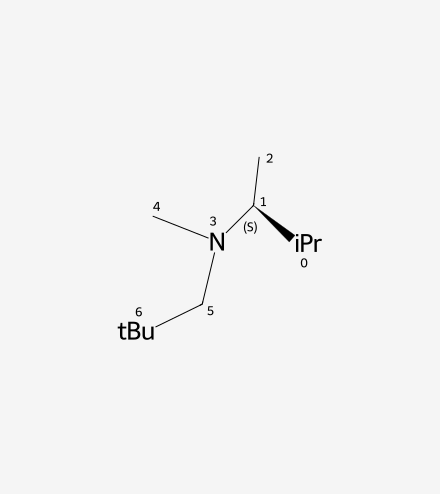 CC(C)[C@H](C)N(C)CC(C)(C)C